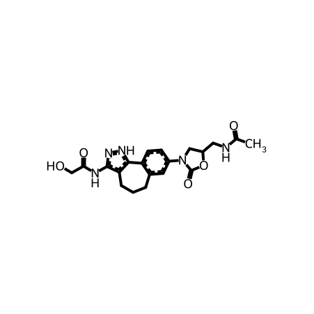 CC(=O)NCC1CN(c2ccc3c(c2)CCCc2c(NC(=O)CO)n[nH]c2-3)C(=O)O1